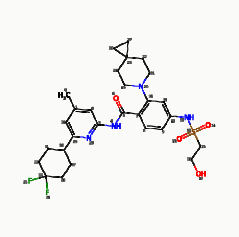 Cc1cc(NC(=O)c2ccc(NS(=O)(=O)CCO)cc2N2CCC3(CC2)CC3)nc(C2CCC(F)(F)CC2)c1